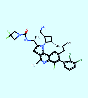 Cc1nc2c(F)c(-c3cccc(Cl)c3Cl)c(CCC#N)cc2c2c1cc([C@@H](C)NC(=O)N1CC(F)(F)C1)n2[C@H]1[C@@H](CN)C[C@@H]1C